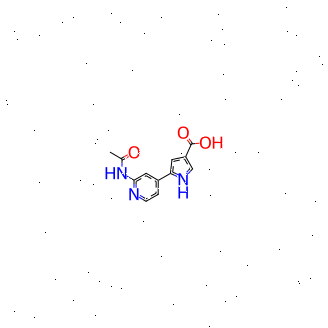 CC(=O)Nc1cc(-c2cc(C(=O)O)c[nH]2)ccn1